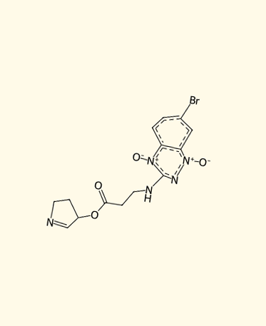 O=C(CCNc1n[n+]([O-])c2cc(Br)ccc2[n+]1[O-])OC1C=NCC1